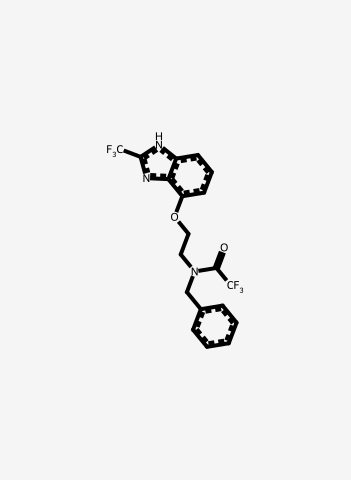 O=C(N(CCOc1cccc2[nH]c(C(F)(F)F)nc12)Cc1ccccc1)C(F)(F)F